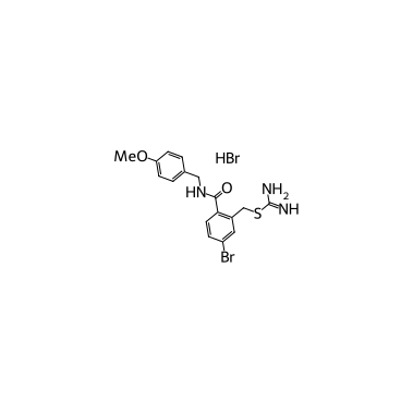 Br.COc1ccc(CNC(=O)c2ccc(Br)cc2CSC(=N)N)cc1